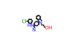 N#CC1(Nc2cccc(Cl)c2)CCC2(CC1)c1ccccc1CN2CCCO